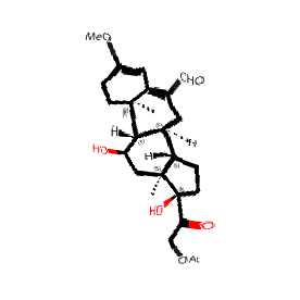 COC1=CC2=C(C=O)C[C@@H]3[C@H](C(O)C[C@@]4(C)[C@H]3CC[C@]4(O)C(=O)COC(C)=O)[C@@]2(C)CC1